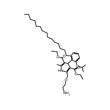 CCCCCCCCCCCCCCCc1cccc(OC(C)C)c1C1C(C(=O)OCC)=C(C)NC(COCCN)=C1C(=O)OCC